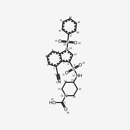 N#Cc1cccc2c1c(S(=O)(=O)NC1CCN(C(=O)O)CC1)cn2S(=O)(=O)c1ccccc1